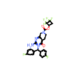 Nc1nc2c(c(=O)n1C(c1ccc(F)cc1)c1ccc(F)cc1)CCN(C(=O)OC1CC(F)(F)C1(F)F)C2